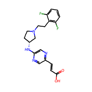 O=C(O)C=Cc1cnc(N[C@@H]2CCN(CCc3c(F)cccc3F)C2)cn1